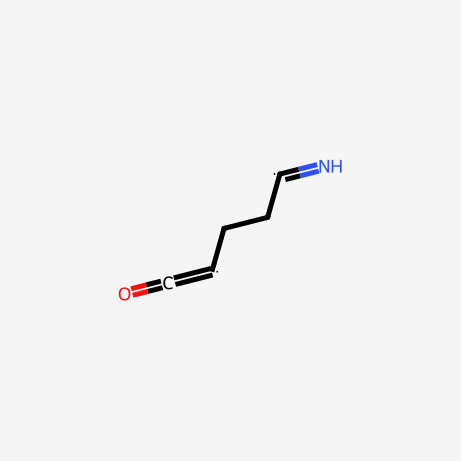 N=[C]CC[C]=C=O